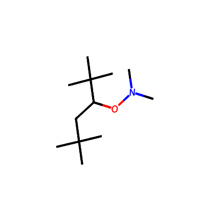 CN(C)OC(CC(C)(C)C)C(C)(C)C